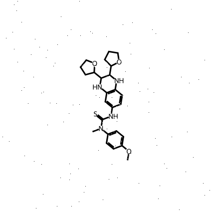 COc1ccc(N(C)C(=S)Nc2ccc3c(c2)NC(C2CCCO2)C(C2CCCO2)N3)cc1